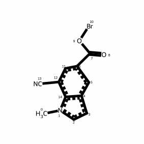 Cn1ccc2cc(C(=O)OBr)cc(C#N)c21